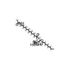 CCCCCCCC(=O)O[C@@H](COC(=O)CCCCCCCCCCCNC(C)=O)COP(=O)(O)O